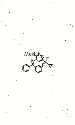 CNc1nnc(C(F)(F)C2CC2)cc1N=C(c1ccccc1)c1ccccc1